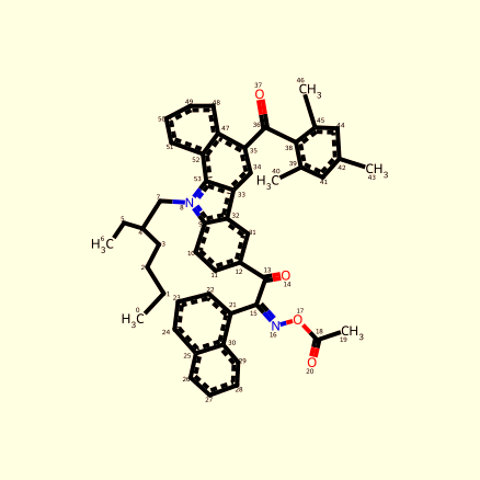 CCCCC(CC)Cn1c2ccc(C(=O)/C(=N\OC(C)=O)c3cccc4ccccc34)cc2c2cc(C(=O)c3c(C)cc(C)cc3C)c3ccccc3c21